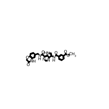 COC(=O)c1cccc(C(=O)Nc2c[nH]c3c(C(=O)NCc4ccc5c(c4)NC(=O)CO5)ncnc23)c1